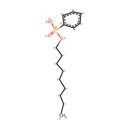 CCCCCCCCCOP(=O)(O)c1ccccc1